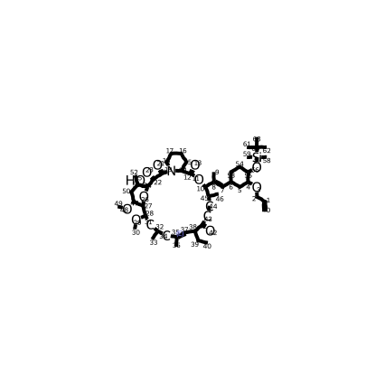 C=CCOC1CC(C=C(C)C2OC(=O)C3CCCCN3C(=O)C(=O)C3(O)OC(C(OC)CC(C)C/C(C)=C/C(CC)C(=O)CCC2C)C(OC)CC3C)CCC1O[Si](C)(C)C(C)(C)C